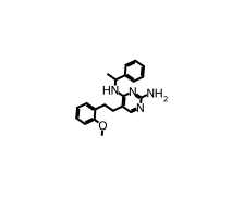 COc1ccccc1CCc1cnc(N)nc1NC(C)c1ccccc1